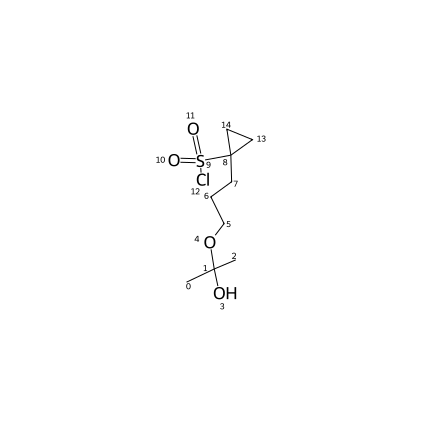 CC(C)(O)OCCCC1(S(=O)(=O)Cl)CC1